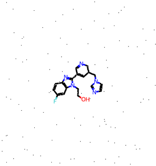 OCCn1c(C2=CC(Cn3ccnc3)CN=C2)nc2ccc(F)cc21